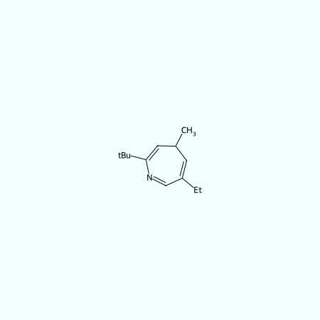 CCC1=CC(C)C=C(C(C)(C)C)N=C1